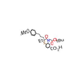 CC[C@]1(CCCc2ccc(OC)cc2)Sc2ccc(C(=O)O)cc2N(CC(=O)OC(C)(C)C)C1=O